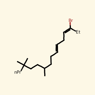 CCCC(C)(C)CCC(C)CCC=CC/C=C(/Br)CC